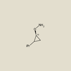 CC(C)C1C[C@@H]1ON